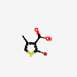 Cc1csc(Br)c1C(=O)O